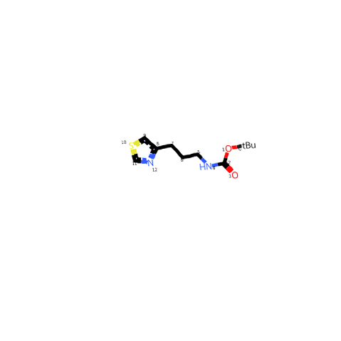 CC(C)(C)OC(=O)NCCCc1cscn1